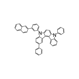 c1ccc(-c2ccc3c(c2)c2c4c5ccccc5n(-c5ccccc5)c4ccc2n3-c2cccc(-c3ccc4ccccc4c3)c2)cc1